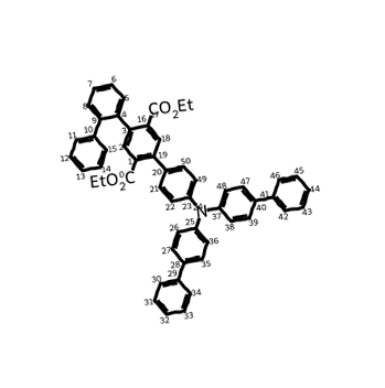 CCOC(=O)c1cc(-c2ccccc2-c2ccccc2)c(C(=O)OCC)cc1-c1ccc(N(c2ccc(-c3ccccc3)cc2)c2ccc(-c3ccccc3)cc2)cc1